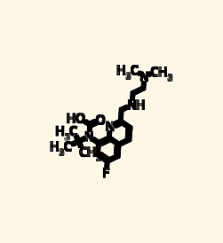 CN(C)CCNCc1ccc2cc(F)cc(N(C(=O)O)C(C)(C)C)c2n1